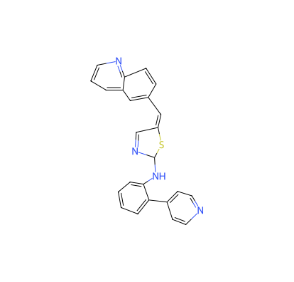 C1=NC(Nc2ccccc2-c2ccncc2)SC1=Cc1ccc2ncccc2c1